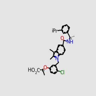 Cc1c(C)n(Cc2cc(O[C@@H](C)C(=O)O)ccc2Cl)c2ccc(C(=O)N[C@@H](C)c3cccc(C(C)C)c3)cc12